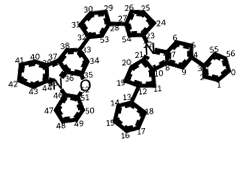 c1ccc(-c2ccc3c(c2)c2cc(-c4ccccc4)ccc2n3-c2cccc(-c3cccc(-c4cc5c6c(c4)c4ccccc4n6-c4ccccc4O5)c3)c2)cc1